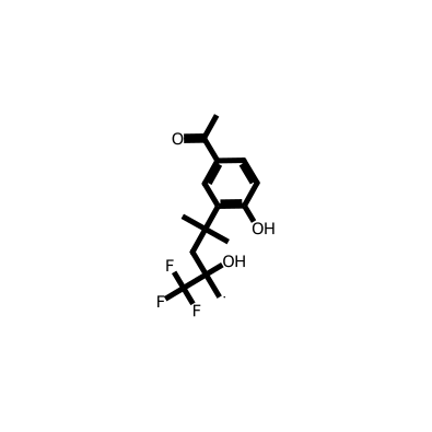 [CH2]C(O)(CC(C)(C)c1cc(C(C)=O)ccc1O)C(F)(F)F